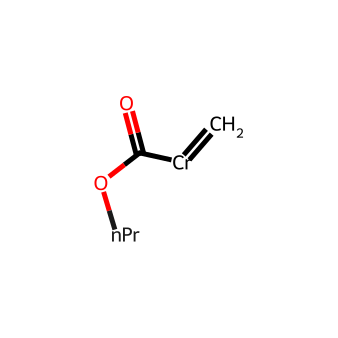 [CH2]=[Cr][C](=O)OCCC